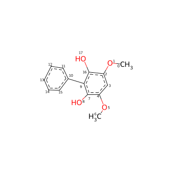 COc1cc(OC)c(O)c(-c2ccccc2)c1O